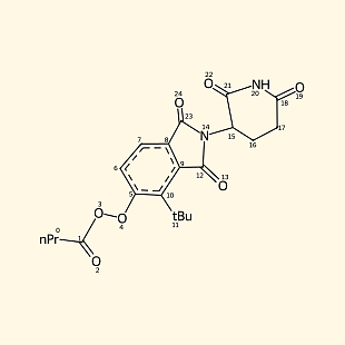 CCCC(=O)OOc1ccc2c(c1C(C)(C)C)C(=O)N(C1CCC(=O)NC1=O)C2=O